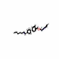 C/C=C\COCC1CCC([C@H]2CC[C@H](/C=C/CCCCC)CC2)CC1